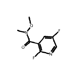 CON(C)C(=O)c1cc(F)cnc1F